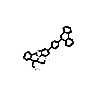 C=Cc1c(/C=C\C)n2c3ccc(-c4ccc(-c5cc6ccccc6c6ccccc56)cc4)cc3nc2c2ccccc12